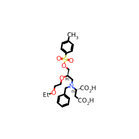 CCOCCO[C@@H](COS(=O)(=O)c1ccc(C)cc1)CN(Cc1ccccc1)[C@@H](CC(=O)O)C(=O)O